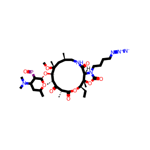 CC[C@H]1OC(=O)[C@H](C)C(=O)[C@H](C)[C@@H](O[C@@H]2OC(C)CC(N(C)C)C2P=O)[C@](C)(OC)C[C@@H](C)CNC(=O)[C@H]2N(CCCCN=[N+]=[N-])C(=O)O[C@]12C